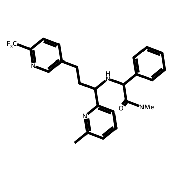 CNC(=O)C(NC(CCc1ccc(C(F)(F)F)nc1)c1cccc(C)n1)c1ccccc1